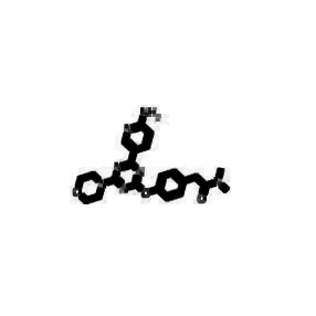 CN(C)C(=O)Cc1ccc(Oc2nc(-c3ccc(N)nc3)nc(N3CCOCC3)n2)cc1